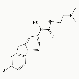 CN(C)CCNC(=O)N(S)c1ccc2c(c1)Cc1cc(Br)ccc1-2